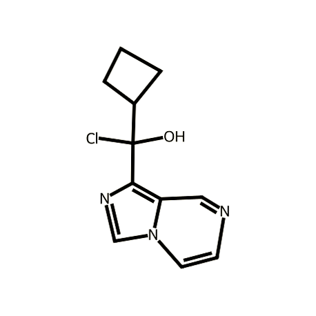 OC(Cl)(c1ncn2ccncc12)C1CCC1